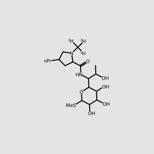 [2H]C([2H])([2H])N1CC(CCC)CC1C(=O)NC(C(C)O)C1OC(SC)C(O)C(O)C1O